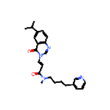 CC(C)c1ccc2ncn(C=CC(=O)N(C)CCCCc3cccnc3)c(=O)c2c1